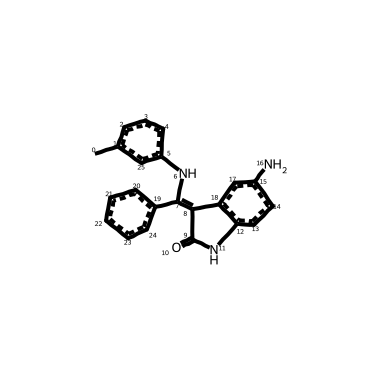 Cc1cccc(NC(=C2C(=O)Nc3ccc(N)cc32)c2ccccc2)c1